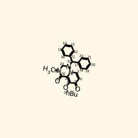 CCCCOc1c2n(ccc1=O)N(C(c1ccccc1)c1ccccc1)CN(C)C2=O